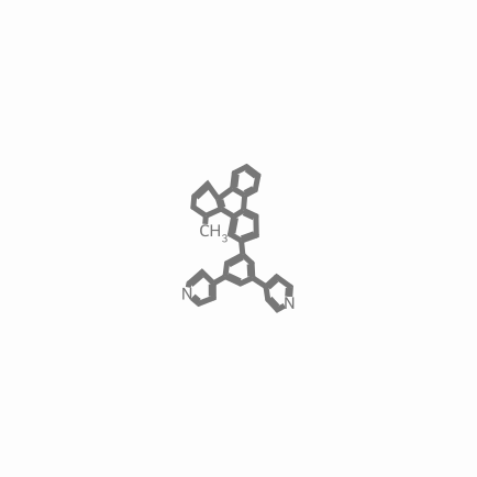 CC1CC=Cc2c1c1cc(-c3cc(-c4ccncc4)cc(-c4ccncc4)c3)ccc1c1ccccc21